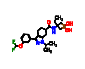 CCC1(NC(=O)C2CCc3c(-c4cccc(OC(F)F)c4)nn(C(C)C)c3C2)CS(O)(O)C1